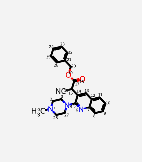 CN1CCN(c2nc3ccccc3cc2C(C#N)C(=O)OCc2ccccc2)CC1